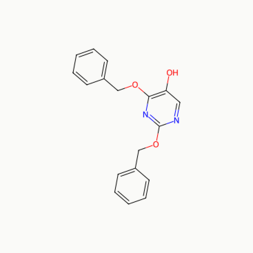 Oc1cnc(OCc2ccccc2)nc1OCc1ccccc1